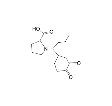 CCCC(C1CCC(=O)C(=O)C1)N1CCCC1C(=O)O